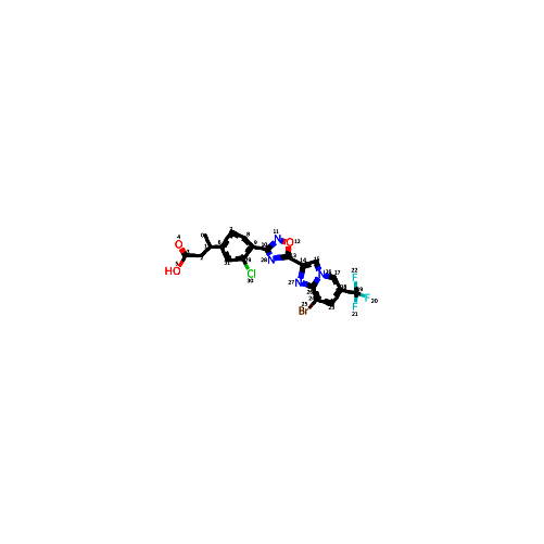 CC(CC(=O)O)c1ccc(-c2noc(-c3cn4cc(C(F)(F)F)cc(Br)c4n3)n2)c(Cl)c1